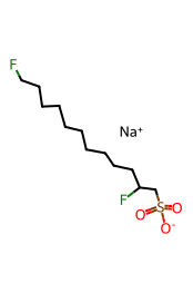 O=S(=O)([O-])CC(F)CCCCCCCCCCF.[Na+]